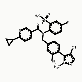 Cn1ncc(C#N)c1-c1ccc(CN(C(=O)c2ccc(C3CC3)nc2)c2ccc(F)cc2S(C)(=O)=O)cc1N